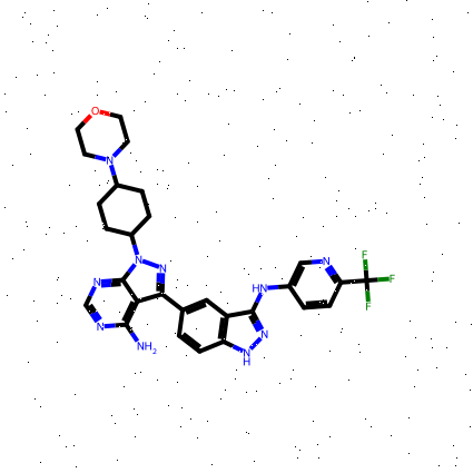 Nc1ncnc2c1c(-c1ccc3[nH]nc(Nc4ccc(C(F)(F)F)nc4)c3c1)nn2C1CCC(N2CCOCC2)CC1